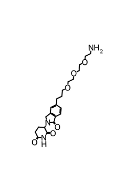 NCCOCCOCCOCCCc1ccc2c(c1)CN(C1CCC(=O)NC1=O)C2=O